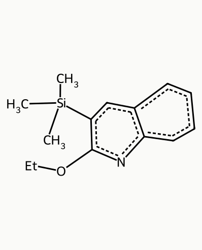 CCOc1nc2ccccc2cc1[Si](C)(C)C